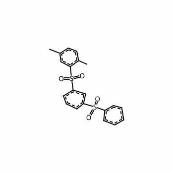 Cc1ccc(C)c(S(=O)(=O)c2[c]ccc(S(=O)(=O)c3ccccc3)c2)c1